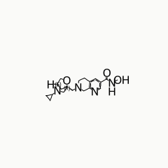 O=C(NO)c1cnc2c(c1)CCN(C[C@@]13C[C@@H](CO1)N(C1CC1)C3)C2